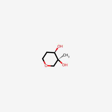 C[C@]1(O)COCC[C@H]1O